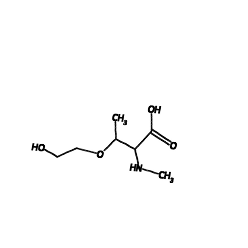 CNC(C(=O)O)C(C)OCCO